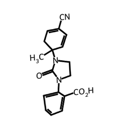 CC1(N2CCN(c3ccccc3C(=O)O)C2=O)C=CC(C#N)=CC1